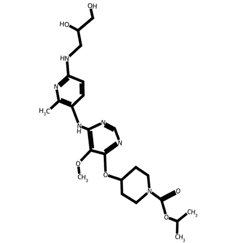 COc1c(Nc2ccc(NCC(O)CO)nc2C)ncnc1OC1CCN(C(=O)OC(C)C)CC1